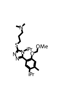 COCOc1cc(C)c(C(C)C)cc1-c1nnc(SCCCN(C)C)n1C(C)C